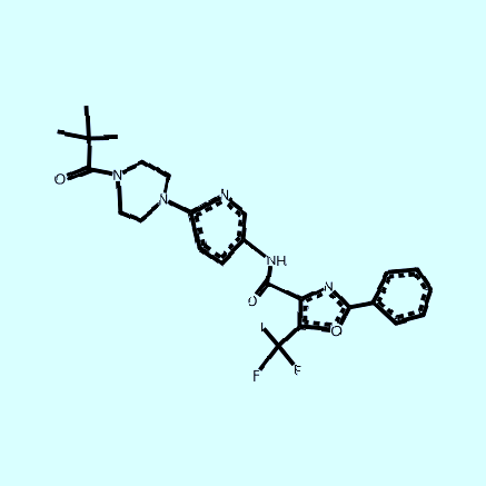 CC(C)(C)C(=O)N1CCN(c2ccc(NC(=O)c3nc(-c4ccccc4)oc3C(F)(F)I)cn2)CC1